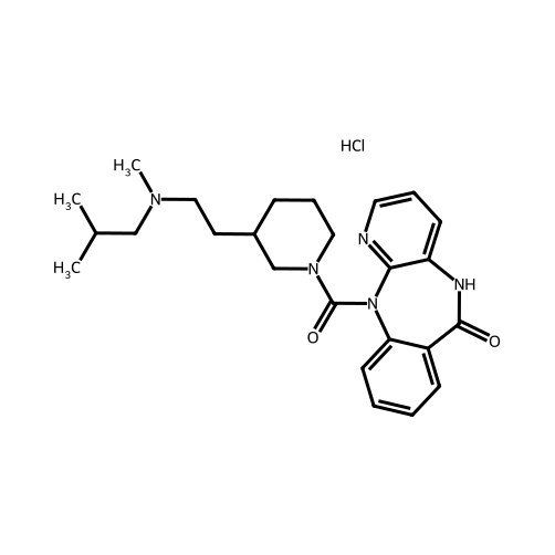 CC(C)CN(C)CCC1CCCN(C(=O)N2c3ccccc3C(=O)Nc3cccnc32)C1.Cl